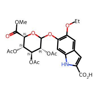 CCOc1cc2cc(C(=O)O)[nH]c2cc1OC1O[C@H](C(=O)OC)[C@@H](OC(C)=O)[C@H](OC(C)=O)[C@H]1OC(C)=O